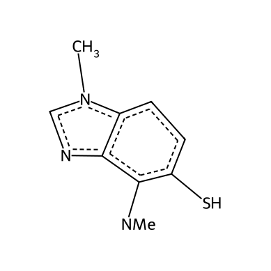 CNc1c(S)ccc2c1ncn2C